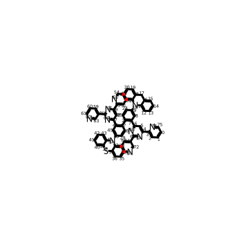 c1ccc(-c2cc(-c3cc(N4c5ccccc5Cc5ccccc54)ccc3-c3ccc(N4c5ccccc5Sc5ccccc54)cc3-c3cc(-c4ccccn4)nc(-c4cccnc4)n3)nc(-c3cccnc3)n2)nc1